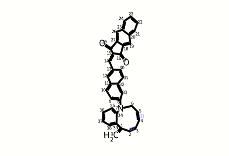 C=C1/C=C\C=C/CN(c2ccc3cc(C=C4C(=O)c5cc6ccccc6cc5C4=O)ccc3c2)c2ccccc21